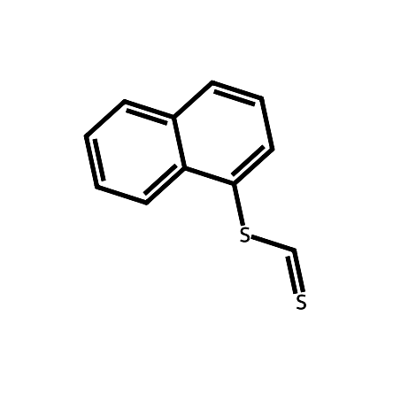 S=CSc1cccc2ccccc12